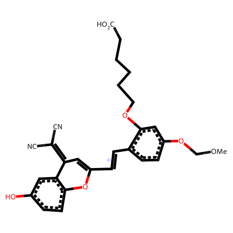 COCOc1ccc(/C=C/C2=CC(=C(C#N)C#N)c3cc(O)ccc3O2)c(OCCCCCC(=O)O)c1